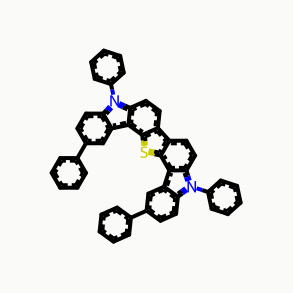 c1ccc(-c2ccc3c(c2)c2c4sc5c(ccc6c5c5cc(-c7ccccc7)ccc5n6-c5ccccc5)c4ccc2n3-c2ccccc2)cc1